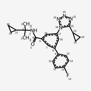 CC(C)(NC(=O)c1cc(-c2ccc(F)cc2)cc(-n2nnnc2C2CC2)c1)C1CC1